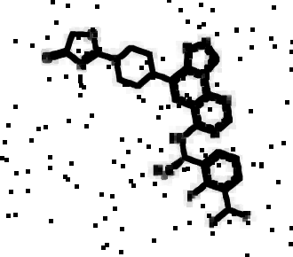 C[C@@H](Nc1ncnc2c1cc(C1CCN(C3=NC(=O)CO3)CC1)c1nncn12)c1cccc(C(F)F)c1F